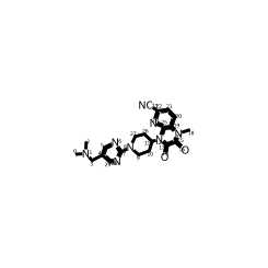 CN(C)Cc1cnc(N2CCC(n3c(=O)c(=O)n(C)c4ccc(C#N)nc43)CC2)nc1